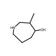 CC1CNCCCC1O